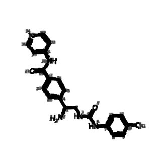 NC(CNC(=O)Nc1ccc(Cl)cc1)c1ccc(C(=O)Nc2ccncc2)cc1